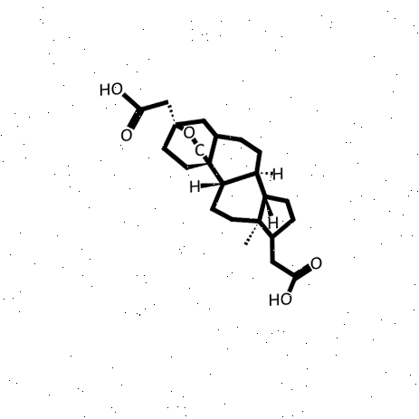 C[C@]12CC[C@H]3[C@@H](CCC4C[C@]5(CC(=O)O)CC[C@@]43CO5)[C@@H]1CCC2CC(=O)O